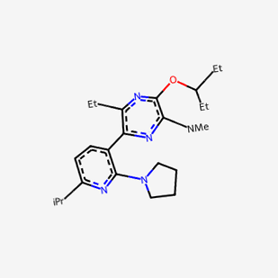 CCc1nc(OC(CC)CC)c(NC)nc1-c1ccc(C(C)C)nc1N1CCCC1